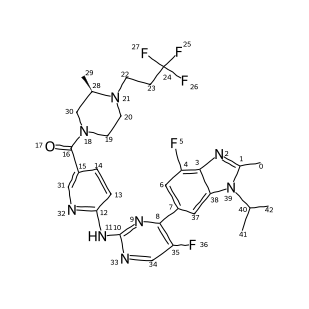 Cc1nc2c(F)cc(-c3nc(Nc4ccc(C(=O)N5CCN(CCC(F)(F)F)[C@H](C)C5)cn4)ncc3F)cc2n1C(C)C